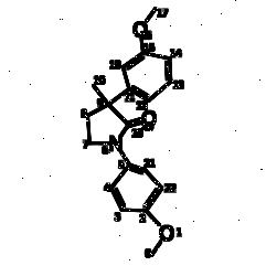 COc1ccc(N2CCC(C)(c3cccc(OC)c3)C2=O)cc1